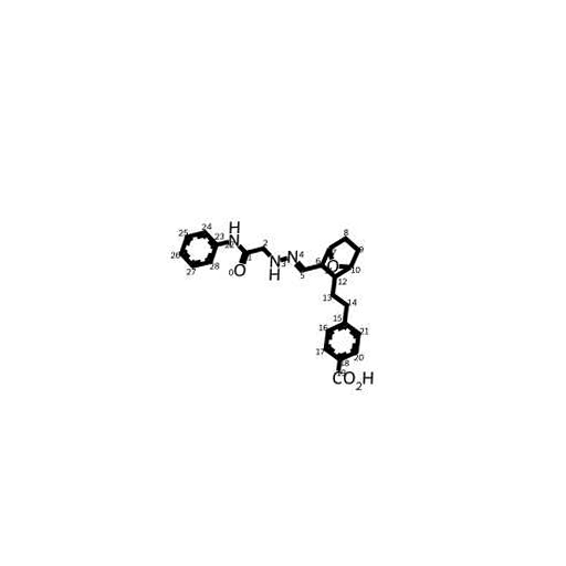 O=C(CNN=CC1C2CCC(O2)C1CCc1ccc(C(=O)O)cc1)Nc1ccccc1